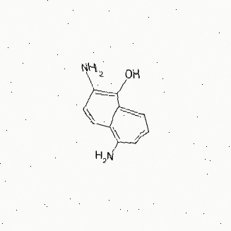 Nc1ccc2c(N)cccc2c1O